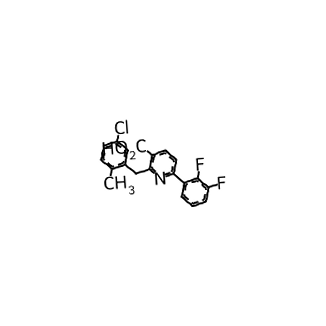 Cc1ccc(Cl)cc1Cc1nc(-c2cccc(F)c2F)ccc1C(=O)O